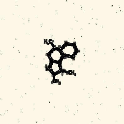 Cc1cc2[te]c(C)[n+](C)c2c2ccccc12